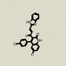 O=C(C=Cc1nc2ccccc2[nH]1)c1c(-c2ccc(Cl)cc2)c2cc(Cl)ccc2[nH]c1=O